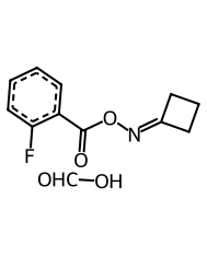 O=C(ON=C1CCC1)c1ccccc1F.O=CO